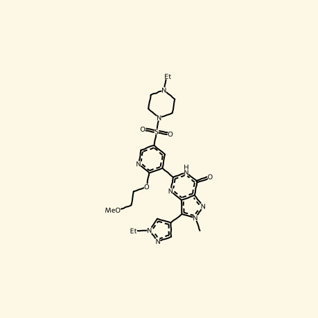 CCN1CCN(S(=O)(=O)c2cnc(OCCOC)c(-c3nc4c(-c5cnn(CC)c5)n(C)nc4c(=O)[nH]3)c2)CC1